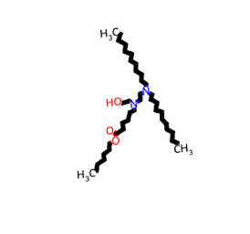 CCCCCCCCCCCCN(CCCCCCCCCCCC)CCN(CCO)CCCCCC(=O)OCCCCCCC